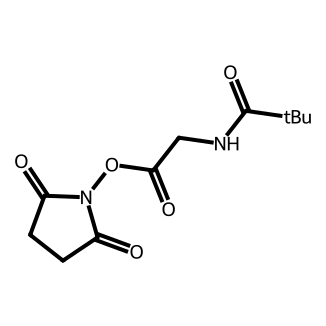 CC(C)(C)C(=O)NCC(=O)ON1C(=O)CCC1=O